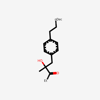 CCCCCCCCCCCCc1ccc(CC(C)(O)C(=O)CC)cc1